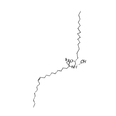 CCCCCCCC/C=C\CCCCCCCCCC(=O)N[C@@H](CO)C(O)CCCCCCCCCCCCCCC